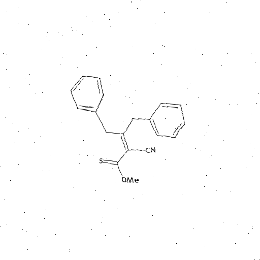 COC(=S)C(C#N)=C(Cc1ccccc1)Cc1ccccc1